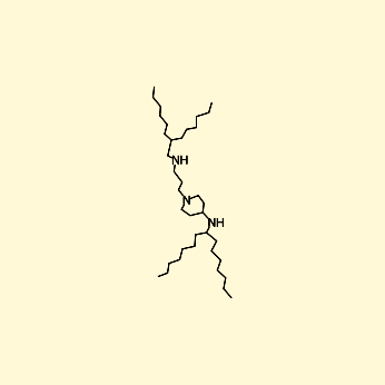 CCCCCCCC(CCCCCCC)NC1CCN(CCCNCC(CCCCCC)CCCCCC)CC1